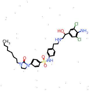 CCCCCCCCN1CCN(c2ccc(S(=O)(=O)Nc3ccc(CCNCC(O)c4cc(Cl)c(N)c(Cl)c4)cc3)cc2)C1=O